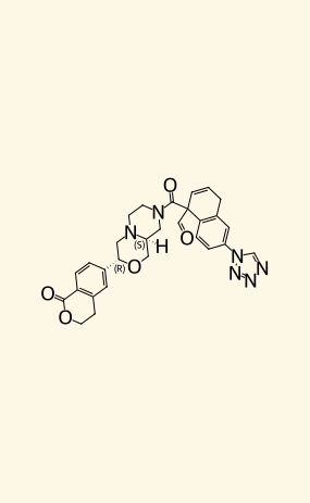 O=CC1(C(=O)N2CCN3C[C@@H](c4ccc5c(c4)CCOC5=O)OC[C@@H]3C2)C=CCc2cc(-n3cnnn3)ccc21